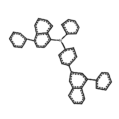 c1ccc(-c2cc(-c3ccc(N(c4ccccc4)c4ccc(-c5ccccc5)c5ccccc45)cc3)cc3ccccc23)cc1